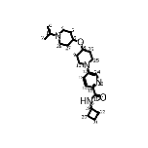 CC(C)N1CCC(OC2CCN(c3ccc(C(=O)NC4CCC4)nc3)CC2)CC1